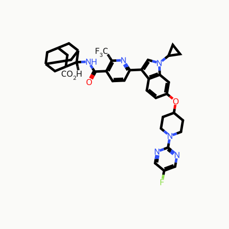 O=C(NC1(C(=O)O)C2CC3CC(C2)CC1C3)c1ccc(-c2cn(C3CC3)c3cc(OC4CCN(c5ncc(F)cn5)CC4)ccc23)nc1C(F)(F)F